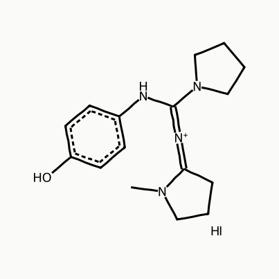 CN1CCCC1=[N+]=C(Nc1ccc(O)cc1)N1CCCC1.I